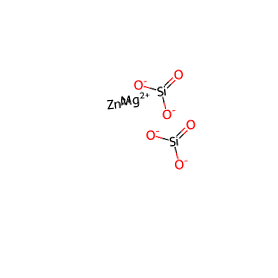 O=[Si]([O-])[O-].O=[Si]([O-])[O-].[Mg+2].[Zn+2]